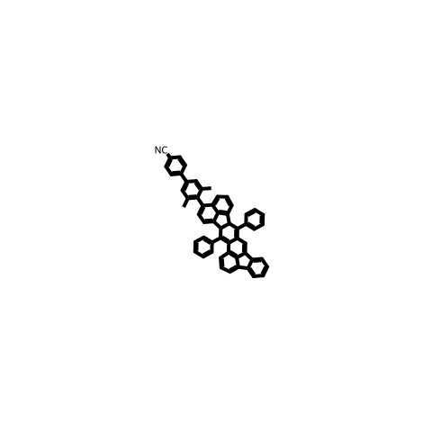 Cc1cc(-c2ccc(C#N)cc2)cc(C)c1-c1ccc2c3c(cccc13)C1C(c3ccccc3)=c3cc4c5c(cccc5c3=C(c3ccccc3)C21)-c1ccccc1-4